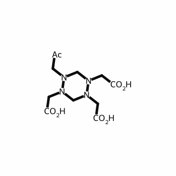 CC(=O)CN1CN(CC(=O)O)N(CC(=O)O)CN1CC(=O)O